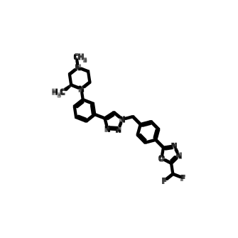 C[C@H]1CN(C)CCN1c1cccc(-c2cn(Cc3ccc(-c4nnc(C(F)F)o4)cc3)nn2)c1